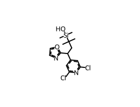 CC(C)(CC(c1cc(Cl)nc(Cl)c1)c1ncco1)[Si](C)(C)O